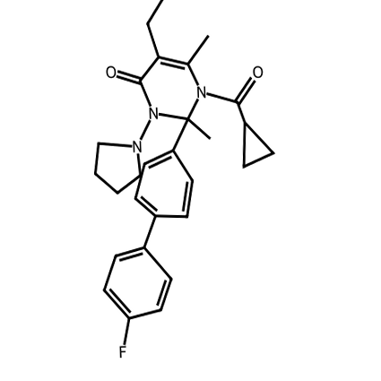 CCC1=C(C)N(C(=O)C2CC2)C(C)(c2ccc(-c3ccc(F)cc3)cc2)N(N2CCCC2)C1=O